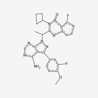 COc1ccc(-c2nn(C(C)c3nc4cccc(F)c4c(=O)n3C3CCC3)c3ncnc(N)c23)cc1F